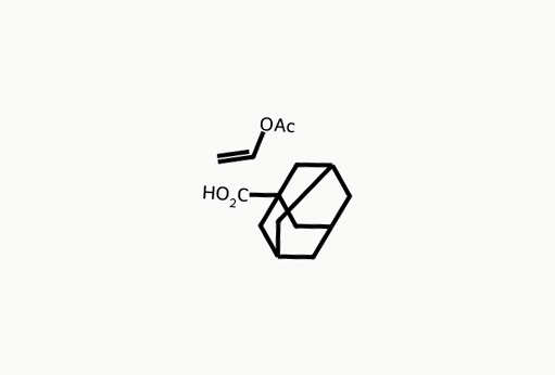 C=COC(C)=O.O=C(O)C12CC3CC(CC(C3)C1)C2